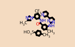 Cc1ccc(S(=O)(=O)O)cc1.Cc1cn(-c2cc(NC(=O)c3ccc(C)c(Nc4nccc(-c5cccnc5)n4)c3)cc(C(F)(F)F)c2)cn1